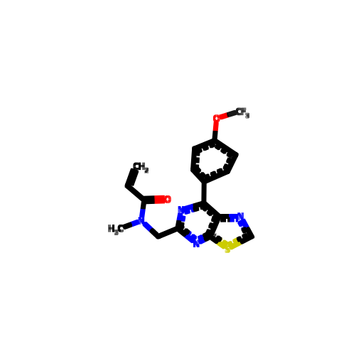 C=CC(=O)N(C)Cc1nc(-c2ccc(OC(F)(F)F)cc2)c2ncsc2n1